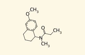 CCC(=O)N(C)C1CCCc2cc(OC)ccc21